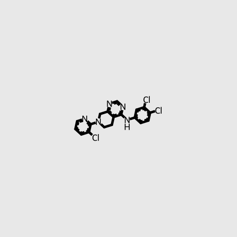 Clc1ccc(Nc2ncnc3c2CCN(c2ncccc2Cl)C3)cc1Cl